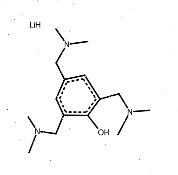 CN(C)Cc1cc(CN(C)C)c(O)c(CN(C)C)c1.[LiH]